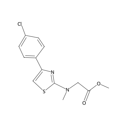 COC(=O)CN(C)c1nc(-c2ccc(Cl)cc2)cs1